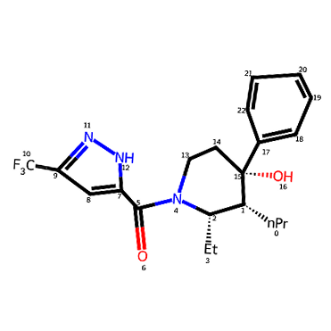 CCC[C@@H]1[C@H](CC)N(C(=O)c2cc(C(F)(F)F)n[nH]2)CC[C@@]1(O)c1ccccc1